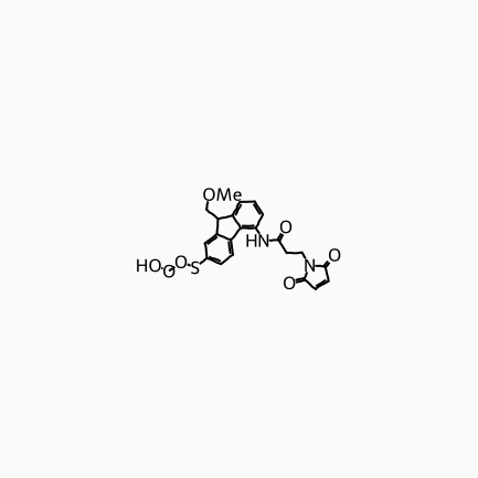 COCC1c2cc(SOOO)ccc2-c2c(NC(=O)CCN3C(=O)C=CC3=O)cccc21